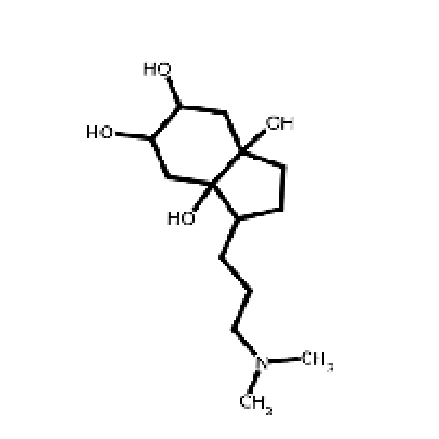 CN(C)CCCC1CCC2(O)CC(O)C(O)CC12O